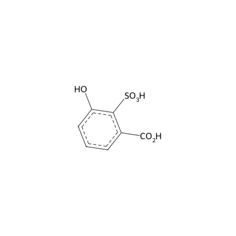 O=C(O)c1cccc(O)c1S(=O)(=O)O